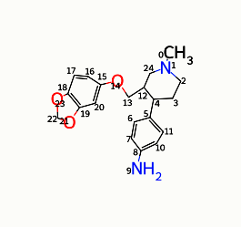 CN1CCC(c2ccc(N)cc2)C(COc2ccc3c(c2)OCO3)C1